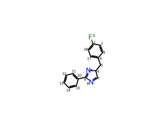 Fc1ccc(CC2C=NC(c3ccccc3)=N2)cc1